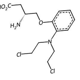 N[C@@H](COc1ccccc1N(CCCl)CCCl)CC(=O)O